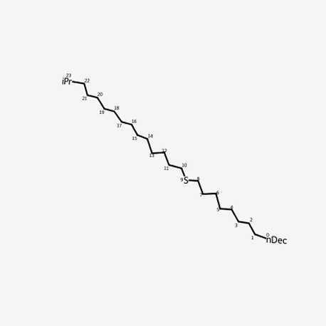 [CH2]CCCCCCCCCCCCCCCCCSCCCCCCCCCCCCCC(C)C